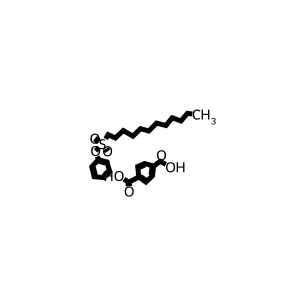 CCCCCCCCCCCCS(=O)(=O)Oc1ccccc1.O=C(O)c1ccc(C(=O)O)cc1